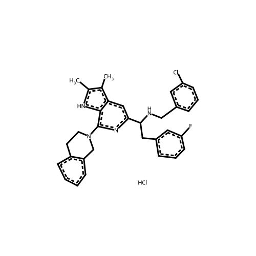 Cc1[nH]c2c(N3CCc4ccccc4C3)nc(C(Cc3cccc(F)c3)NCc3cccc(Cl)c3)cc2c1C.Cl